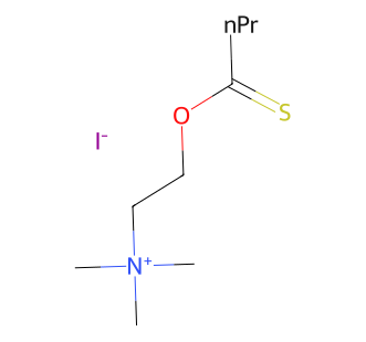 CCCC(=S)OCC[N+](C)(C)C.[I-]